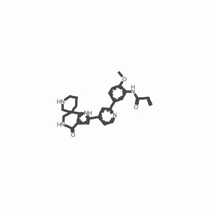 C=CC(=O)Nc1cc(-c2cc(-c3cc4c([nH]3)C3(CCCNC3)CNC4=O)ccn2)ccc1OC